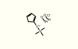 CC(C)[O-].CC(C)[O-].C[Si](C)(C)[V+3][C]1=CC=CC1.[Cl-]